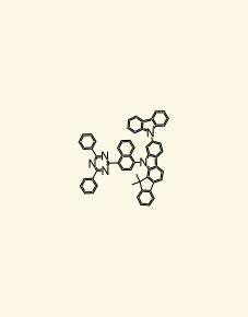 CC1(C)c2ccccc2-c2ccc3c4ccc(-n5c6ccccc6c6ccccc65)cc4n(-c4ccc(-c5nc(-c6ccccc6)nc(-c6ccccc6)n5)c5ccccc45)c3c21